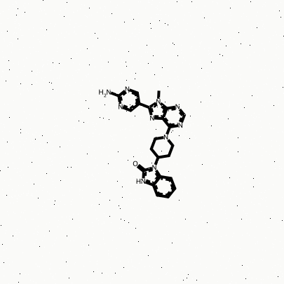 Cn1c(-c2cnc(N)nc2)nc2c(N3CCC(n4c(=O)[nH]c5ccccc54)CC3)ncnc21